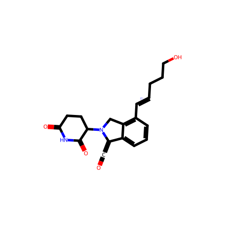 O=C=C1c2cccc(/C=C/CCCO)c2CN1C1CCC(=O)NC1=O